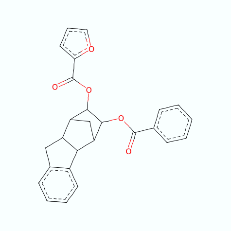 O=C(OC1C2CC(C3Cc4ccccc4C32)C1OC(=O)c1ccco1)c1ccccc1